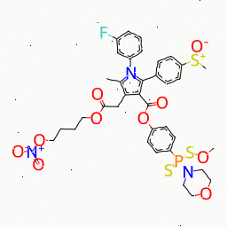 COSP(=S)(c1ccc(OC(=O)c2c(CC(=O)OCCCCO[N+](=O)[O-])c(C)n(-c3cccc(F)c3)c2-c2ccc([S+](C)[O-])cc2)cc1)N1CCOCC1